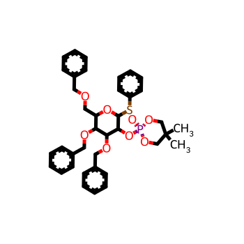 CC1(C)COP(=O)(OC2C(Sc3ccccc3)OC(COCc3ccccc3)C(OCc3ccccc3)C2OCc2ccccc2)OC1